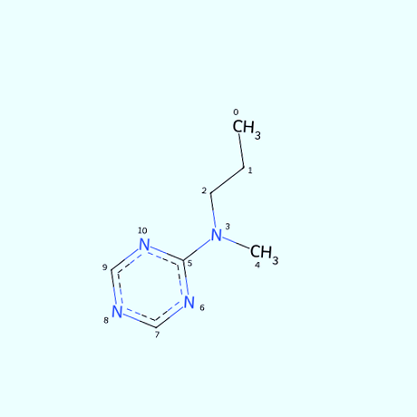 CCCN(C)c1ncncn1